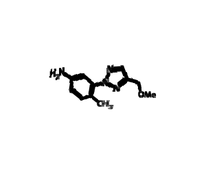 COCc1cnn(-c2cc(N)ccc2C)n1